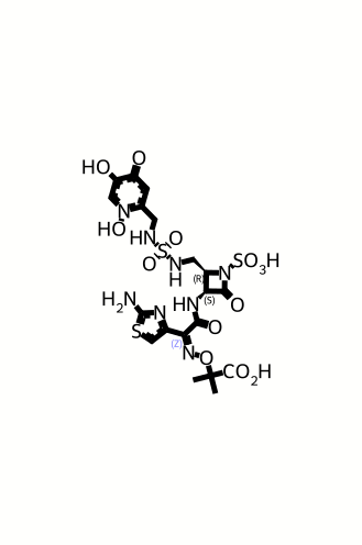 CC(C)(O/N=C(\C(=O)N[C@@H]1C(=O)N(S(=O)(=O)O)[C@@H]1CNS(=O)(=O)NCc1cc(=O)c(O)cn1O)c1csc(N)n1)C(=O)O